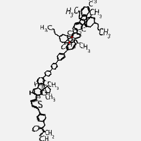 C=C(CC)C(=O)Cc1ccc(-c2ccc(-c3ccc4c(c3)C3(c5cc(-c6ccc(-c7ccc(-c8ccc(-c9ccc%10c(c9)C9(c%11cc(-c%12ccc%13c(c%12)C%12(c%14cc(C)ccc%14-%13)C%13(C)CC(CCC)CC%12(C)CC(CCC)C%13)ccc%11-%10)C%10(C)CC(CCC)CC9(C)CC(CCC)C%10)cc8)cc7)cc6)ccc5-4)C(C)(C)CCC3(C)C)s2)cc1